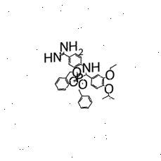 CCOc1cc(C(Nc2ccc(C(=N)N)cc2)P(=O)(OCc2ccccc2)OCc2ccccc2)ccc1OC(C)C